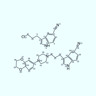 N#Cc1ccc2[nH]cc(CCCCl)c2c1.N#Cc1ccc2[nH]cc(CCCN3CCN(c4ccc5c(c4)OCCO5)CC3)c2c1